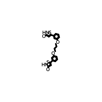 O=c1cc(-c2cccc(OCCCCOc3cccc(-c4cc(=O)[nH]s4)c3)c2)s[nH]1